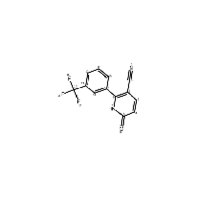 N#Cc1ccc(=O)[nH]c1-c1cccc(C(F)(F)F)c1